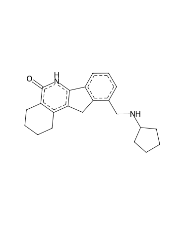 O=c1[nH]c2c(c3c1CCCC3)Cc1c(CNC3CCCC3)cccc1-2